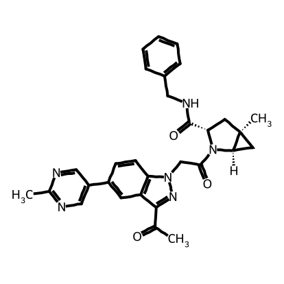 CC(=O)c1nn(CC(=O)N2[C@H](C(=O)NCc3ccccc3)C[C@@]3(C)C[C@@H]23)c2ccc(-c3cnc(C)nc3)cc12